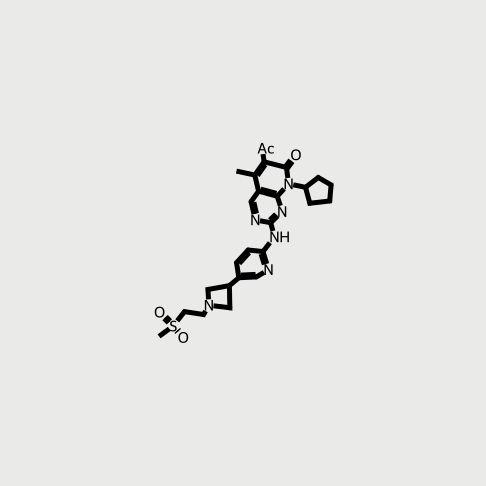 CC(=O)c1c(C)c2cnc(Nc3ccc(C4CN(CCS(C)(=O)=O)C4)cn3)nc2n(C2CCCC2)c1=O